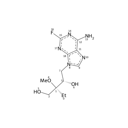 CC[C@](CO)(OC)[C@@H](O)Cn1cnc2c(N)nc(F)nc21